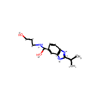 CC(C)c1nc2ccc(C(O)NCCCO)cc2[nH]1